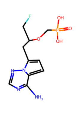 Nc1ncnn2c(CC(CF)OCP(=O)(O)O)ccc12